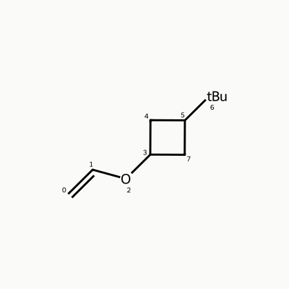 C=COC1CC(C(C)(C)C)C1